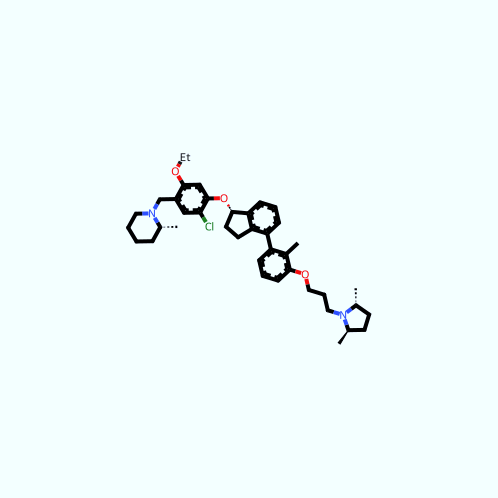 CCOc1cc(O[C@H]2CCc3c(-c4cccc(OCCCN5[C@H](C)CC[C@H]5C)c4C)cccc32)c(Cl)cc1CN1CCCC[C@H]1C